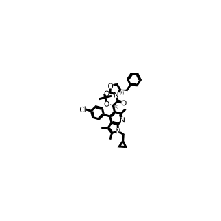 Cc1nc2c(c(C)c(C)n2CC2CC2)c(-c2ccc(Cl)cc2)c1[C@H](OC(C)(C)C)C(=O)N1C(=O)OC[C@H]1Cc1ccccc1